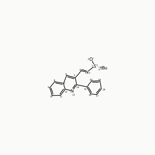 CC(C)(C)[S@@+]([O-])/N=C/c1cc2ccccc2nc1-c1ccccc1